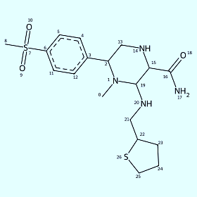 CN1C(c2ccc(S(C)(=O)=O)cc2)CNC(C(N)=O)C1NCC1CCCS1